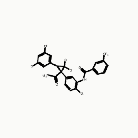 NC(=O)C1(c2ccc(Cl)c(NC(=O)c3cccc(C(F)(F)F)c3)c2)C(c2cc(Cl)cc(Cl)c2)C1(Cl)Cl